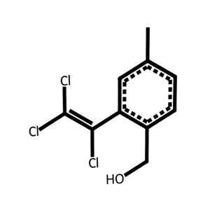 Cc1ccc(CO)c(C(Cl)=C(Cl)Cl)c1